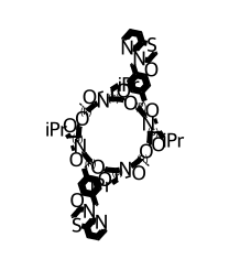 CC(C)C[C@H]1C(=O)O[C@H](Cc2ccc(CN3C(=O)CSc4cccnc43)cc2)C(=O)N(C)[C@@H](CC(C)C)C(=O)O[C@H](C)C(=O)N(C)[C@@H](CC(C)C)C(=O)O[C@H](Cc2ccc(CN3C(=O)CSc4cccnc43)cc2)C(=O)N(C)[C@@H](CC(C)C)C(=O)O[C@H](C)C(=O)N1C